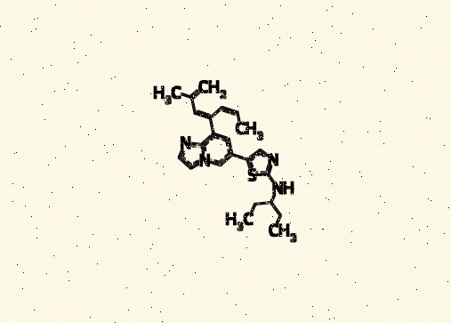 C=C(C)/C=C(\C=C/C)c1cc(-c2cnc(NC(CC)CC)s2)cn2ccnc12